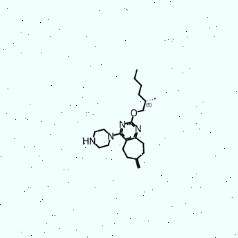 C=C1CCc2nc(OC[C@@H](C)CCCC)nc(N3CCNCC3)c2CC1